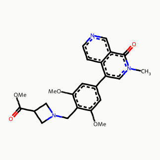 COC(=O)C1CN(Cc2c(OC)cc(-c3cn(C)c(=O)c4cnccc34)cc2OC)C1